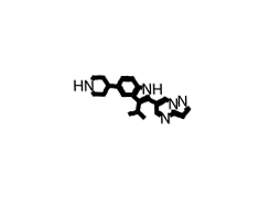 CC(C)c1c(-c2cnc3ccnn3c2)[nH]c2ccc(C3CCNCC3)cc12